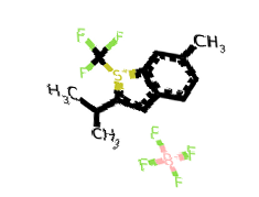 Cc1ccc2cc(C(C)C)[s+](C(F)(F)F)c2c1.F[B-](F)(F)F